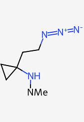 CNNC1(CCN=[N+]=[N-])CC1